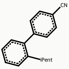 CCCC(C)c1ccccc1-c1ccc(C#N)cc1